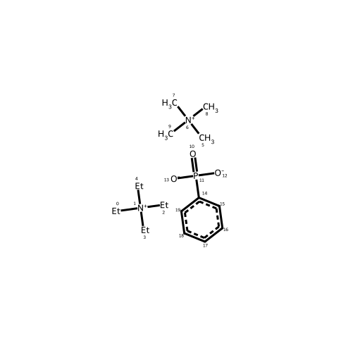 CC[N+](CC)(CC)CC.C[N+](C)(C)C.O=P([O-])([O-])c1ccccc1